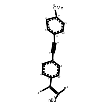 CCCC/C(F)=C(\F)c1ccc(C#Cc2ccc(OC)cc2)cc1